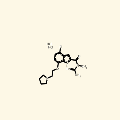 CN(C(=N)N)C(=O)c1cc2c(Cl)ccc(OCCN3CCCC3)c2[nH]1.Cl.Cl